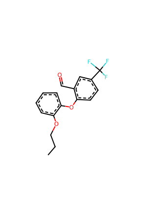 CCCOc1ccccc1Oc1ccc(C(F)(F)F)cc1C=O